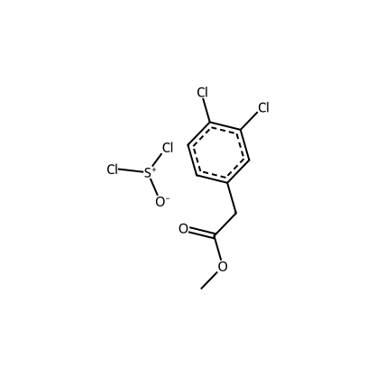 COC(=O)Cc1ccc(Cl)c(Cl)c1.[O-][S+](Cl)Cl